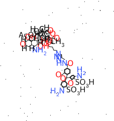 CC(=O)O[C@H]1C2C([C@@H](O)[C@@H](N)[C@H]3C[C@@H]4O[C@@H]4[C@H](O)[C@]23C)[C@@H]2[C@@H](OC(=O)CCCCn3cc(CNC(=O)c4ccc5c(c4)C(=O)OC54c5ccc(N)c(S(=O)(=O)O)c5Oc5c4ccc(N)c5S(=O)(=O)O)nn3)[C@@H]3[C@H]([C@H](C)[C@H]4O[C@]45OC(=O)[C@@](C)(O)[C@]35C)[C@@]2(C)[C@H]1OC(C)=O